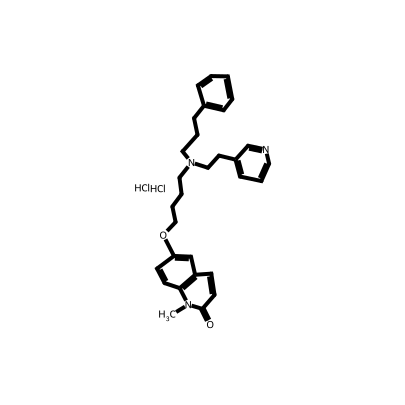 Cl.Cl.Cn1c(=O)ccc2cc(OCCCCN(CCCc3ccccc3)CCc3cccnc3)ccc21